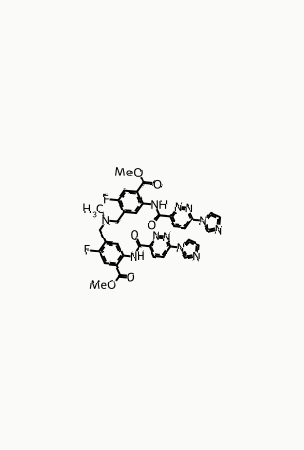 COC(=O)c1cc(F)c(CN(C)Cc2cc(NC(=O)c3ccc(-n4ccnc4)nn3)c(C(=O)OC)cc2F)cc1NC(=O)c1ccc(-n2ccnc2)nn1